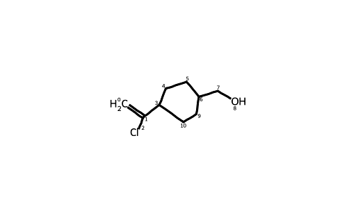 C=C(Cl)C1CCC(CO)CC1